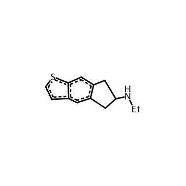 CCNC1Cc2cc3ccsc3cc2C1